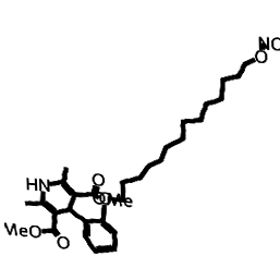 COC(=O)C1=C(C)NC(C)=C(C(=O)OC)C1c1ccccc1OCCCCCCCCCCCCCCO[N+](=O)[O-]